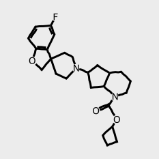 O=C(OC1CCC1)N1CCCC2CC(N3CCC4(CC3)COc3ccc(F)cc34)CC21